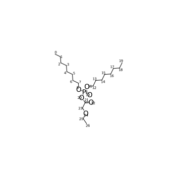 CCCCCCCCOP(=O)(OCCCCCCCC)OC(=O)COCC